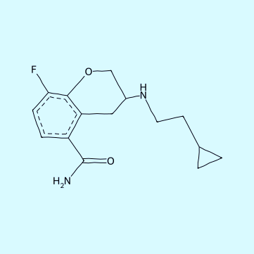 NC(=O)c1ccc(F)c2c1CC(NCCC1CC1)CO2